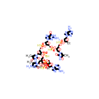 CCCCCCCOP(=O)(S)OC1[C@@H]2O[C@@H](C)[C@]1(COP(=O)(S)OC1(CCOP(=O)(S)O[C@@H]3C[C@H](n4cc(C)c(=O)[nH]c4=O)O[C@@H]3COP(=O)(S)O[C@@H]3C[C@H](n4cnc5c(=O)[nH]c(N)nc54)O[C@@H]3COP(=O)(S)O[C@@H]3C[C@H](n4cc(C)c(=O)[nH]c4=O)O[C@@H]3COP(=O)(S)OC3C[C@H](n4cnc5c(N)ncnc54)O[C@@H]3CC)CO[C@@H](n3cc(C)c(N)nc3=O)C1)O[C@H]2n1cnc2c(N)ncnc21